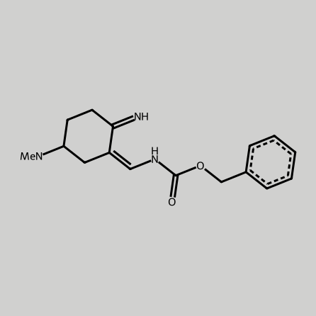 CNC1CCC(=N)/C(=C\NC(=O)OCc2ccccc2)C1